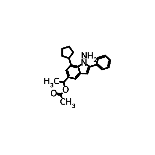 CC(=O)OC(C)c1cc(C2CCCC2)c2c(c1)cc(-c1ccccc1)n2N